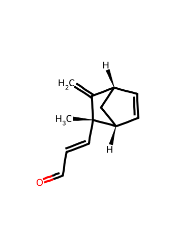 C=C1[C@@H]2C=C[C@@H](C2)[C@]1(C)C=CC=O